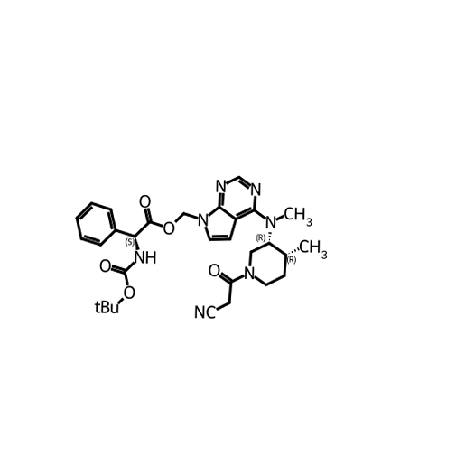 C[C@@H]1CCN(C(=O)CC#N)C[C@@H]1N(C)c1ncnc2c1ccn2COC(=O)[C@@H](NC(=O)OC(C)(C)C)c1ccccc1